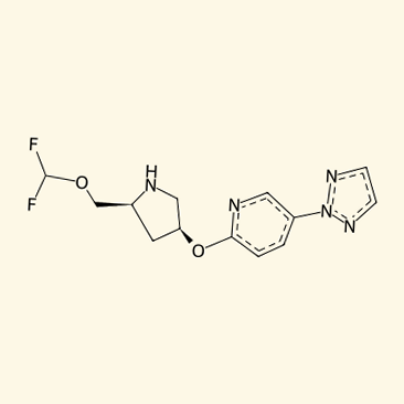 FC(F)OC[C@@H]1C[C@H](Oc2ccc(-n3nccn3)cn2)CN1